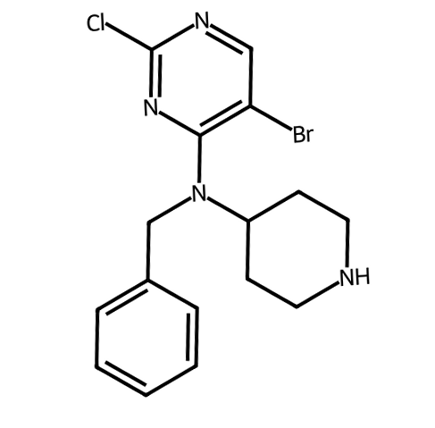 Clc1ncc(Br)c(N(Cc2ccccc2)C2CCNCC2)n1